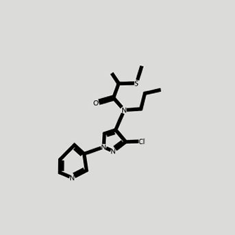 CCCN(C(=O)C(C)SC)c1cn(-c2cccnc2)nc1Cl